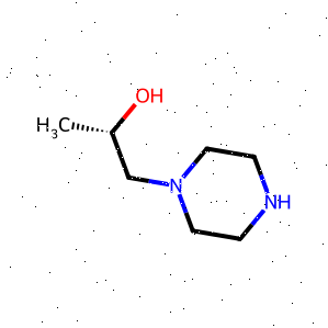 C[C@H](O)CN1CCNCC1